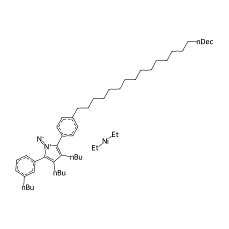 CCCCCCCCCCCCCCCCCCCCCCCCCc1ccc(C2=C(CCCC)C(CCCC)=C(c3cccc(CCCC)c3)[N+]2=[N-])cc1.C[CH2][Ni][CH2]C